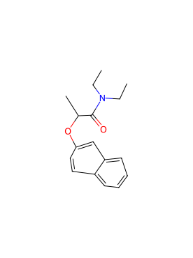 CCN(CC)C(=O)C(C)Oc1ccc2ccccc2c1